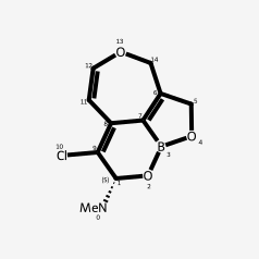 CN[C@H]1OB2OCC3=C2C(=C1Cl)C=COC3